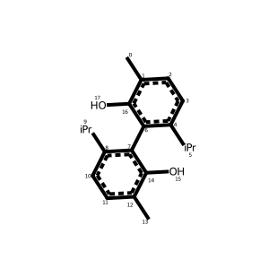 Cc1ccc(C(C)C)c(-c2c(C(C)C)ccc(C)c2O)c1O